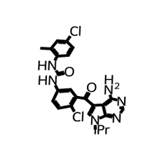 Cc1cc(Cl)ccc1NC(=O)Nc1ccc(Cl)c(C(=O)c2cn(C(C)C)c3ncnc(N)c23)c1